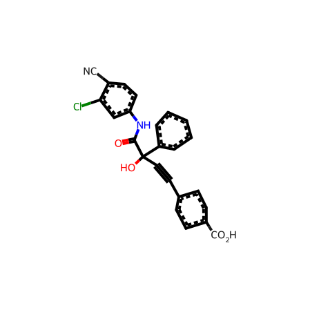 N#Cc1ccc(NC(=O)C(O)(C#Cc2ccc(C(=O)O)cc2)c2ccccc2)cc1Cl